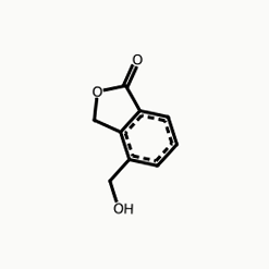 O=C1OCc2c(CO)cccc21